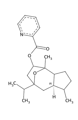 CC1CCC2[C@@H]1CC1(C(C)C)CC(OC(=O)c3ccccn3)C2(C)O1